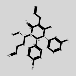 C=CCC1=C(C)[C@H](c2cccc(Cl)c2)[C@@H](c2ccc(Cl)cc2)N([C@@H](CC)CCC=O)C1=O